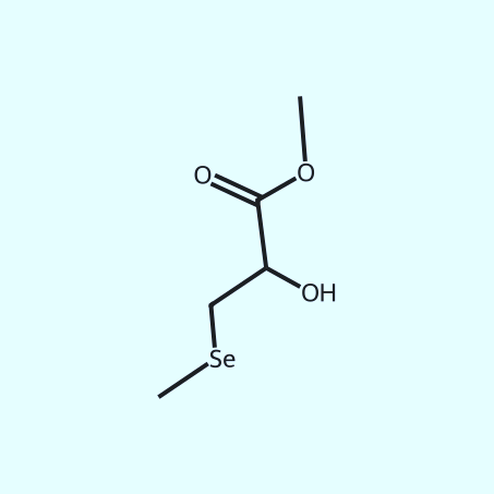 COC(=O)C(O)C[Se]C